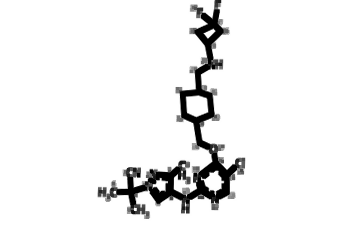 Cc1nn(C(C)(C)C#N)cc1Nc1ncc(Cl)c(OCC2CCC(CNC3CC(F)(F)C3)CC2)n1